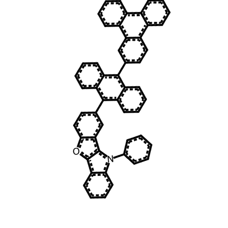 c1ccc(-n2c3ccccc3c3oc4ccc(-c5c6ccccc6c(-c6ccc7c8ccccc8c8ccccc8c7c6)c6ccccc56)cc4c32)cc1